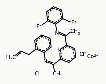 C=CCc1ccccc1N=C(C)c1cccc(C(C)=Nc2c(C(C)C)cccc2C(C)C)n1.[Cl-].[Cl-].[Co+2]